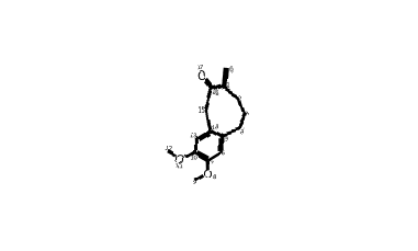 C=C1CCCc2cc(OC)c(OC)cc2CC1=O